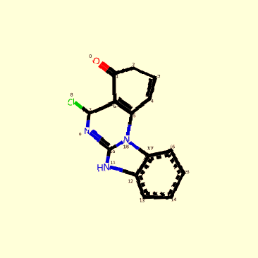 O=C1CC=CC2=C1C(Cl)N=C1Nc3ccccc3N12